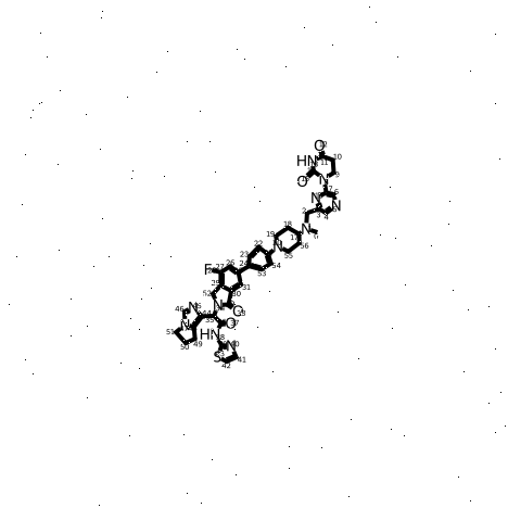 CN(Cc1cncc(N2CCC(=O)NC2=O)n1)C1CCN(c2ccc(-c3cc(F)c4c(c3)C(=O)N(C(C(=O)Nc3nccs3)c3ncn5c3CCC5)C4)cc2)CC1